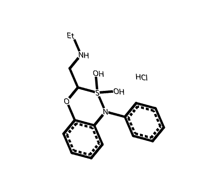 CCNCC1Oc2ccccc2N(c2ccccc2)S1(O)O.Cl